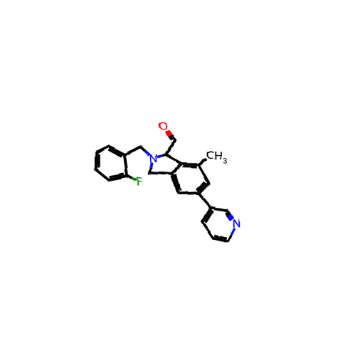 Cc1cc(-c2cccnc2)cc2c1C(C=O)N(Cc1ccccc1F)C2